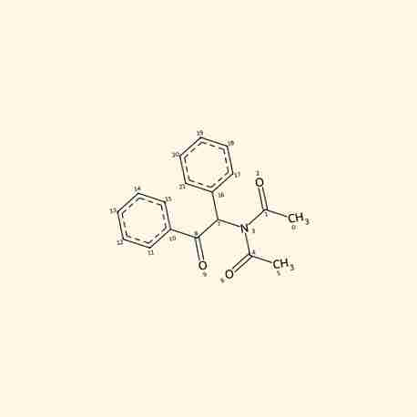 CC(=O)N(C(C)=O)C(C(=O)c1ccccc1)c1ccccc1